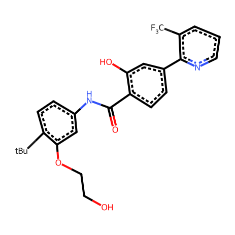 CC(C)(C)c1ccc(NC(=O)c2ccc(-c3ncccc3C(F)(F)F)cc2O)cc1OCCO